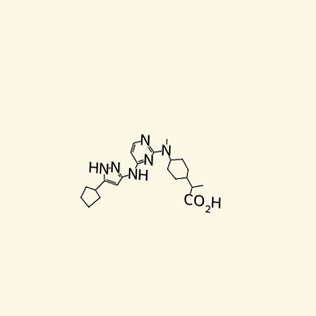 CC(C(=O)O)C1CCC(N(C)c2nccc(Nc3cc(C4CCCC4)[nH]n3)n2)CC1